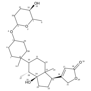 CC1OC(OC2CCC(C)(C3CCC4(C)[C@@H](C5=CC(=O)OC5)CC[C@]4(O)[C@@H]3C)CC2)CC[C@H]1O